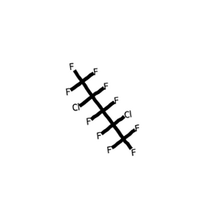 FC(F)(F)C(F)(Cl)C(F)(F)C(F)(Cl)C(F)(F)F